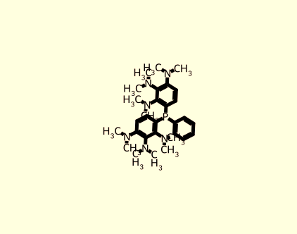 CN(C)c1ccc(P(c2ccccc2)c2ccc(N(C)C)c(N(C)C)c2N(C)C)c(N(C)C)c1N(C)C